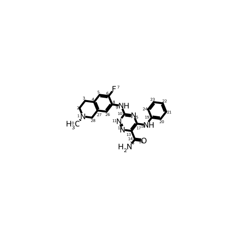 CN1CCc2cc(F)c(Nc3nnc(C(N)=O)c(Nc4ccccc4)n3)cc2C1